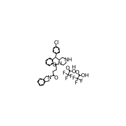 O=C(CCC(=O)N1CCNCC1C(c1ccccc1)c1ccc(Cl)cc1)N1Cc2ccccc2C1.O=C(O)C(F)(F)F.O=C(O)C(F)(F)F